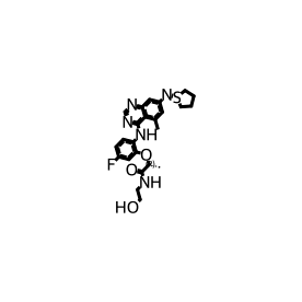 Cc1cc(N=S2CCCC2)cc2ncnc(Nc3ccc(F)cc3O[C@H](C)C(=O)NCCO)c12